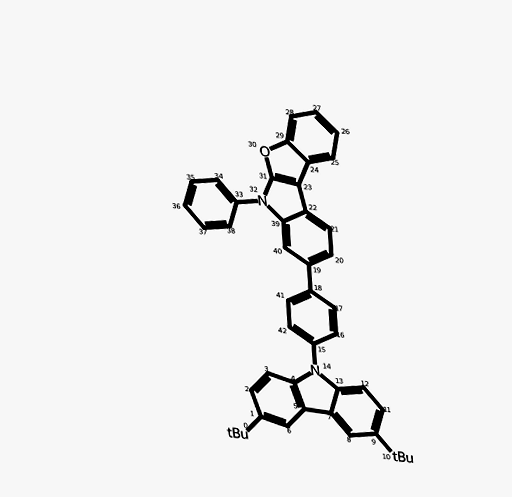 CC(C)(C)c1ccc2c(c1)c1cc(C(C)(C)C)ccc1n2-c1ccc(-c2ccc3c4c5ccccc5oc4n(-c4ccccc4)c3c2)cc1